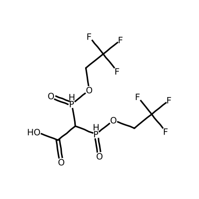 O=C(O)C([PH](=O)OCC(F)(F)F)[PH](=O)OCC(F)(F)F